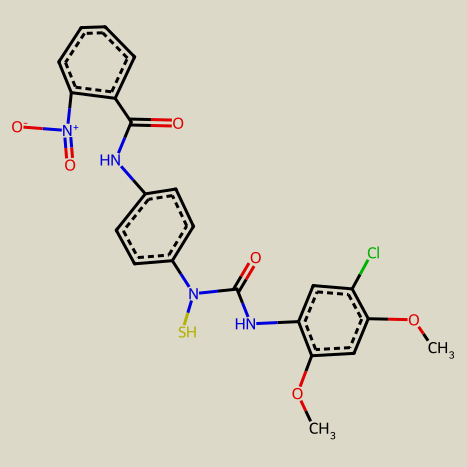 COc1cc(OC)c(NC(=O)N(S)c2ccc(NC(=O)c3ccccc3[N+](=O)[O-])cc2)cc1Cl